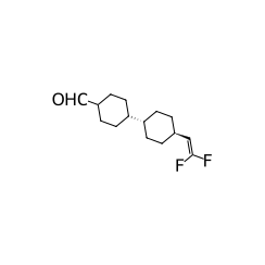 O=CC1CCC([C@H]2CC[C@H](C=C(F)F)CC2)CC1